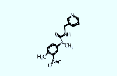 Cc1ccc(N(C)C(=O)NCc2cccnc2)cc1[N+](=O)[O-]